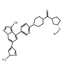 CC(C)O[C@H]1CCN(C(=O)N2CCN(c3ccc(-c4cc(-c5cnn(C)c5)cn5ncc(C#N)c45)cn3)CC2)C1